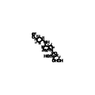 OC[C@H]1O[C@@H](n2ccc3c(Nc4ccc(OC(F)(F)F)cc4)ncnc32)[C@H](O)[C@@H]1O